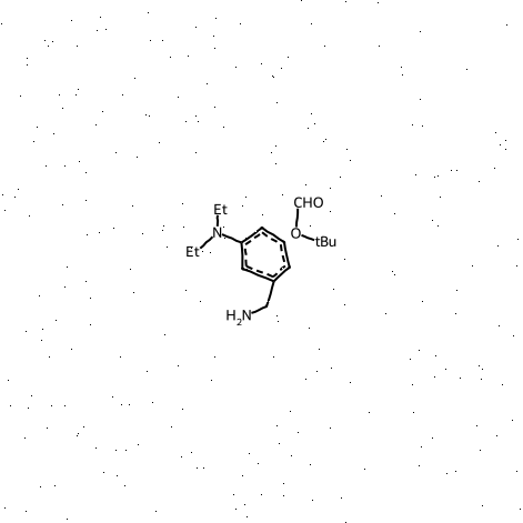 CC(C)(C)OC=O.CCN(CC)c1cccc(CN)c1